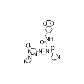 O=C(CC1CN(c2cc(Cl)nc(-n3ccnc3)n2)CCN1C(=O)c1cccnc1)NCc1ccc2c(c1)OCCO2